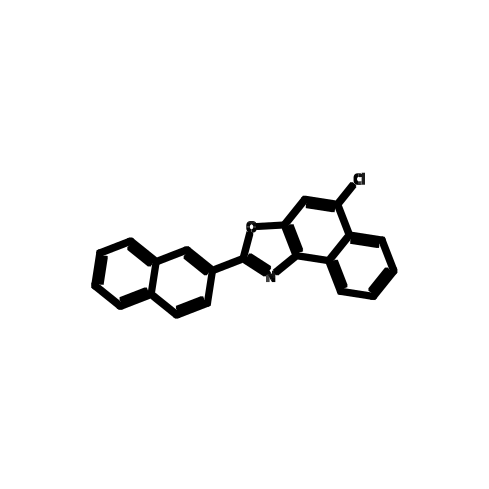 Clc1cc2oc(-c3ccc4ccccc4c3)nc2c2ccccc12